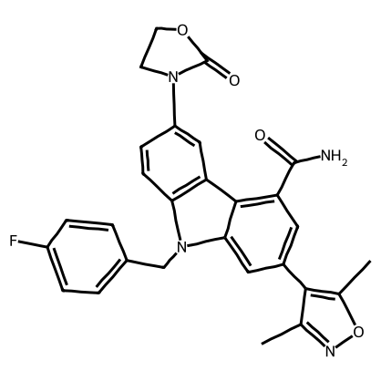 Cc1noc(C)c1-c1cc(C(N)=O)c2c3cc(N4CCOC4=O)ccc3n(Cc3ccc(F)cc3)c2c1